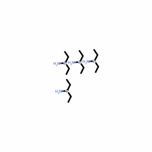 C[CH2][Zr]([NH2])[CH2]C.C[CH2][Zr]([NH2])[CH2]C.C[CH2][Zr]([NH2])[CH2]C.C[CH2][Zr]([NH2])[CH2]C